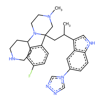 CC(CC1(c2ccc(F)cc2)CN(C)CCN1C1CCNCC1)c1c[nH]c2ccc(-n3cnnc3)cc12